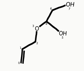 C=CCOC(O)CO